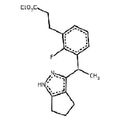 CCOC(=O)CCc1cccc(C(C)c2n[nH]c3c2CCC3)c1F